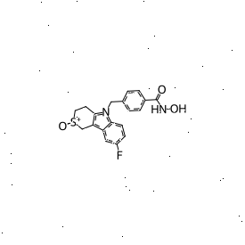 O=C(NO)c1ccc(Cn2c3c(c4cc(F)ccc42)C[S+]([O-])CC3)cc1